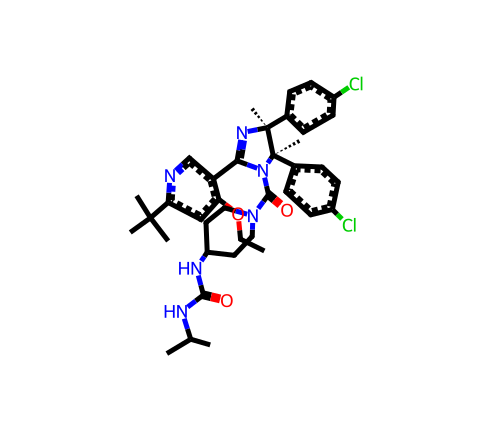 CCOc1cc(C(C)(C)C)ncc1C1=N[C@@](C)(c2ccc(Cl)cc2)[C@@](C)(c2ccc(Cl)cc2)N1C(=O)N1CCC(NC(=O)NC(C)C)CC1